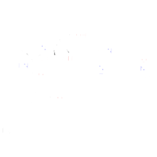 COc1ccc2c(CC(=O)N[C@@H](C)C(=O)N3CCC[C@]3(C(=O)O)[C@H](CCCCNc3ccc([N+](=O)[O-])cc3[N+](=O)[O-])C(=O)O)cc(=O)oc2c1